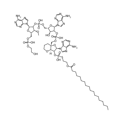 CCCCCCCCCCCCCCCCCC(=O)OCCSP(=O)(O)OC1[C@H](n2cnc3c(N)ncnc32)O[C@@]2(COP(=O)(O)OC3[C@@H](O)[C@@H](COP(=O)(O)OC4[C@@H](OC)[C@@H](COP(=O)(O)OCCO)O[C@H]4n4cnc5c(N)ncnc54)O[C@H]3n3cnc4c(N)ncnc43)CCCO[C@H]12